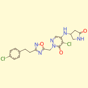 O=C1CC(Nc2cnn(Cc3nc(CCc4ccc(Cl)cc4)no3)c(=O)c2Cl)CN1